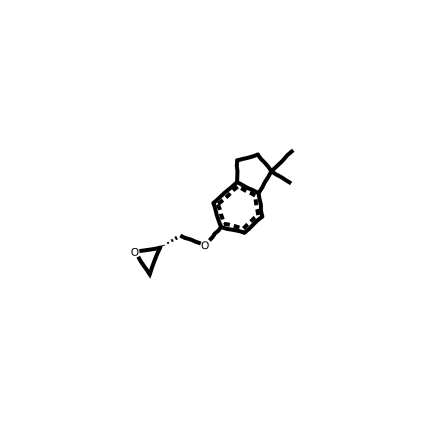 CC1(C)CCc2cc(OC[C@@H]3CO3)ccc21